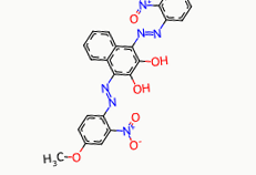 COc1ccc(N=Nc2c(O)c(O)c(N=Nc3ccc(OC)cc3[N+](=O)[O-])c3ccccc23)c([N+](=O)[O-])c1